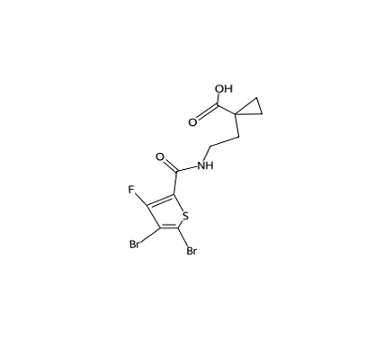 O=C(NCCC1(C(=O)O)CC1)c1sc(Br)c(Br)c1F